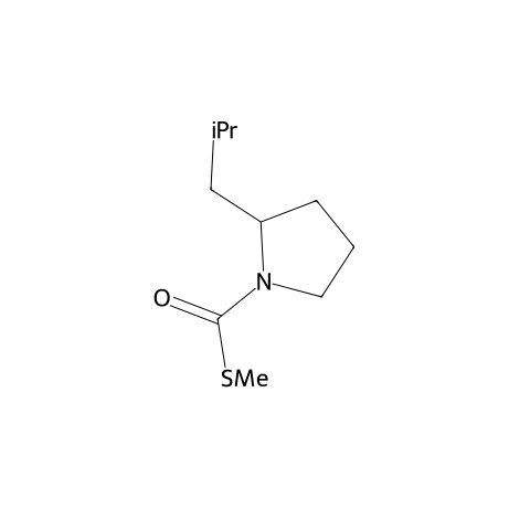 CSC(=O)N1CCCC1CC(C)C